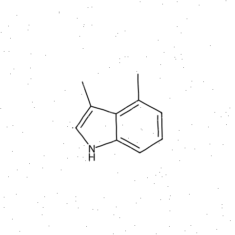 Cc1[c][nH]c2cccc(C)c12